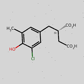 Cc1cc(C[C@@H](CC(=O)O)C(=O)O)cc(Cl)c1O